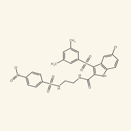 Cc1cc(C)cc(S(=O)(=O)c2c(C(=O)NCCNS(=O)(=O)c3ccc([N+](=O)[O-])cc3)[nH]c3ccc(Cl)cc23)c1